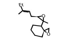 CC/C(C)=C/C[C@H]1OC1(C)C1CCCC[C@]12CO2